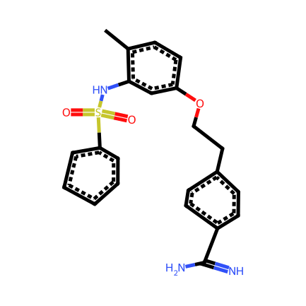 Cc1ccc(OCCc2ccc(C(=N)N)cc2)cc1NS(=O)(=O)c1ccccc1